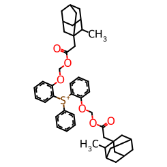 CC1C2CC3CC(C2)CC1(CC(=O)OCOc1ccccc1[S+](c1ccccc1)c1ccccc1OCOC(=O)CC12CC4CC(CC(C4)C1C)C2)C3